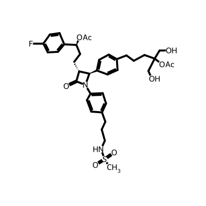 CC(=O)O[C@@H](CC[C@H]1C(=O)N(c2ccc(CCCNS(C)(=O)=O)cc2)[C@@H]1c1ccc(CCCC(CO)(CO)OC(C)=O)cc1)c1ccc(F)cc1